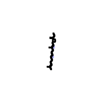 C=C(CC)OC/C=C(\C)CC/C=C/CCC=C(C)C